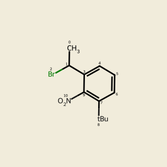 CC(Br)c1cccc(C(C)(C)C)c1[N+](=O)[O-]